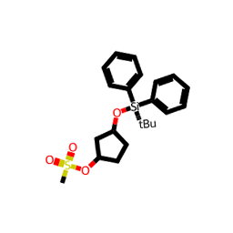 CC(C)(C)[Si](OC1CCC(OS(C)(=O)=O)C1)(c1ccccc1)c1ccccc1